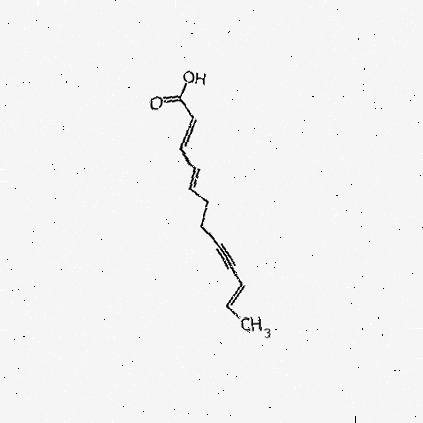 C/C=C/C#CCC/C=C/C=C/C(=O)O